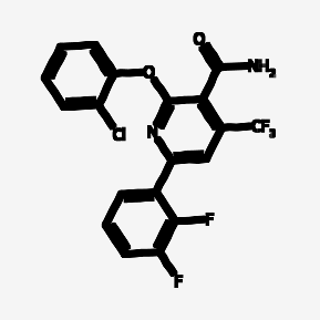 NC(=O)c1c(C(F)(F)F)cc(-c2cccc(F)c2F)nc1Oc1ccccc1Cl